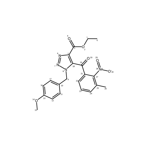 CCOC(=O)c1nnn(Cc2ccc(OC)cc2)c1C(=O)c1cccc(C)c1[N+](=O)[O-]